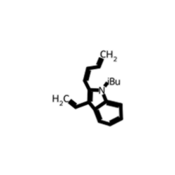 C=C/C=C\c1c(C=C)c2ccccc2n1C(C)CC